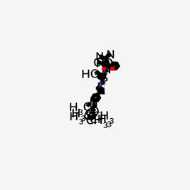 [C-]#[N+]C1=C(/C=C/c2sc(/C=C/c3ccc(-c4ccc(N(CC)CCO[Si](C)(C)C(C)(C)C)cc4)s3)cc2CO)C(c2ccccc2)(C(F)(F)F)OC1=C(C#N)C#N